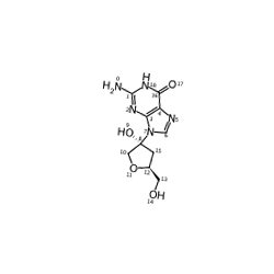 Nc1nc2c(ncn2[C@]2(O)CO[C@H](CO)C2)c(=O)[nH]1